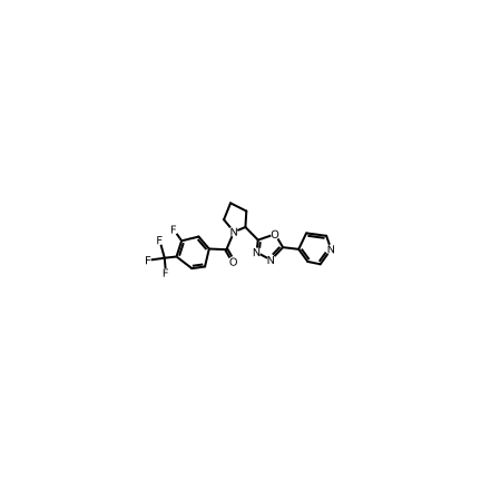 O=C(c1ccc(C(F)(F)F)c(F)c1)N1CCCC1c1nnc(-c2ccncc2)o1